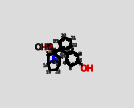 O=CC(Cc1ccc(O)cc1)N1C2CCC1CC(O)(c1ccccc1)C2